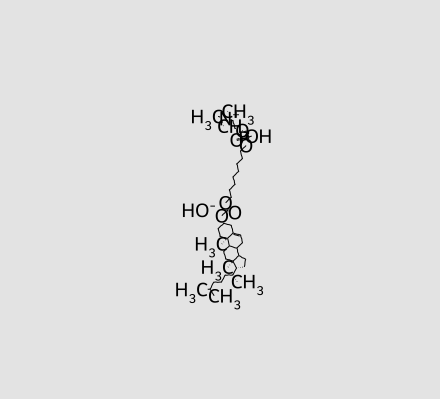 CC(C)CCC[C@@H](C)[C@H]1CCC2C3CC=C4C[C@@H](OC(=O)OCCCCCCCCOP(=O)(O)OCC[N+](C)(C)C)CC[C@]4(C)C3CC[C@@]21C.[OH-]